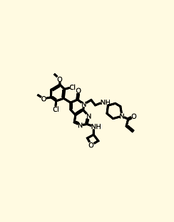 C=CC(=O)N1CCC(NCCn2c(=O)c(-c3c(Cl)c(OC)cc(OC)c3Cl)cc3cnc(NC4COC4)nc32)CC1